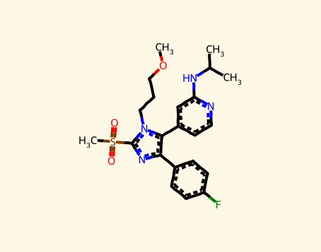 COCCCn1c(S(C)(=O)=O)nc(-c2ccc(F)cc2)c1-c1ccnc(NC(C)C)c1